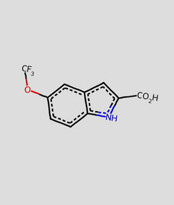 O=C(O)c1cc2cc(OC(F)(F)F)ccc2[nH]1